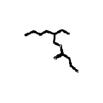 CCCCC(CC)COC(=O)CCI